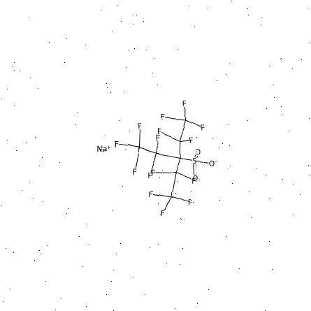 O=S(=O)([O-])C(C(F)(F)C(F)(F)F)(C(F)(F)C(F)(F)F)C(F)(F)C(F)(F)F.[Na+]